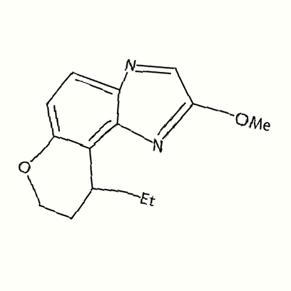 CCC1CCOc2ccc3ncc(OC)nc3c21